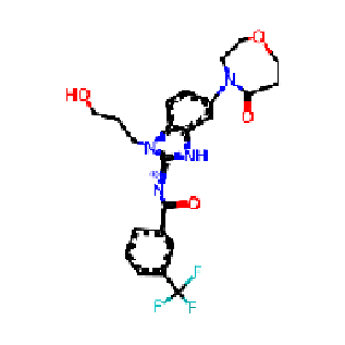 O=C(/N=c1\[nH]c2cc(N3CCOCCC3=O)ccc2n1CCCO)c1cccc(C(F)(F)F)c1